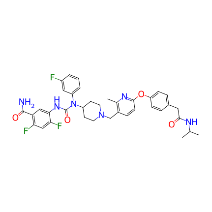 Cc1nc(Oc2ccc(CC(=O)NC(C)C)cc2)ccc1CN1CCC(N(C(=O)Nc2cc(C(N)=O)c(F)cc2F)c2cccc(F)c2)CC1